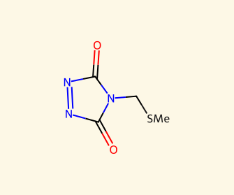 CSCN1C(=O)N=NC1=O